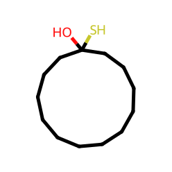 OC1(S)CCCCCCCCCCCC1